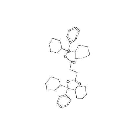 O=C(CCC(=O)O[Si](c1ccccc1)(C1CCCCC1)C1CCCCC1)O[Si](c1ccccc1)(C1CCCCC1)C1CCCCC1